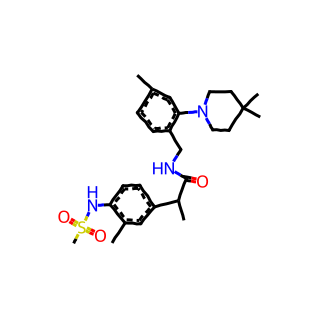 Cc1ccc(CNC(=O)C(C)c2ccc(NS(C)(=O)=O)c(C)c2)c(N2CCC(C)(C)CC2)c1